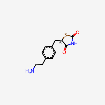 NCCc1ccc(C[C@H]2SC(=O)NC2=O)cc1